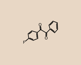 O=C(C(=O)c1ccc(F)cc1)c1ccccc1